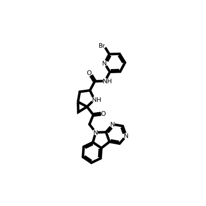 O=C(Nc1cccc(Br)n1)C1CC2CC2(C(=O)Cn2c3ccccc3c3cncnc32)N1